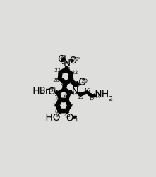 Br.COc1cc2c(cc1O)C(=O)c1c-2n(CCCN)c(=O)c2cc([N+](=O)[O-])ccc12